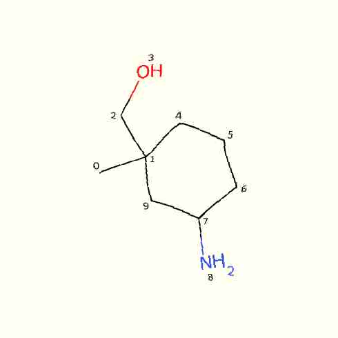 CC1(CO)CCCC(N)C1